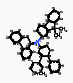 C/C=C(\C=C/C(C)C)C1=CC(/[N+](=C2/Cc3ccccc3-c3ccccc32)c2ccc3c(c2)C(C)(C)c2ccccc2-3)=CCC1c1ccccc1